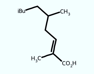 CCC(C)CC(C)CC=C(C)C(=O)O